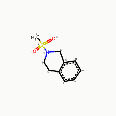 CS(=O)(=O)N1CCc2cc[c]cc2C1